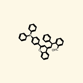 O=Cc1ccccc1C(/C=C1\C=C(c2ccc(N(c3ccccc3)c3ccccc3)cc2)Oc2ccccc21)c1ccccc1